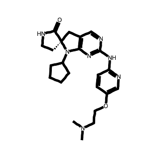 CN(C)CCOc1ccc(Nc2ncc3c(n2)N(C2CCCC2)[C@]2(CCNC2=O)C3)nc1